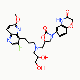 COc1ccc2ncc(F)c(CCCN(CC(O)CO)CC3CN(c4ccc5c(c4)NC(=O)CO5)C(=O)O3)c2n1